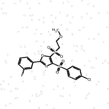 COCCS(=O)(=O)c1oc(-c2cccc(F)c2)nc1S(=O)(=O)c1ccc(Cl)cc1